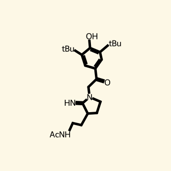 CC(=O)NCCC1CCN(CC(=O)c2cc(C(C)(C)C)c(O)c(C(C)(C)C)c2)C1=N